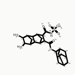 CC1C(C)C2CC1C1C3CC(C(C(=O)OC4C5CC6CC(C5)CC4C6)C3C(=O)NS(C)(=O)=O)C21